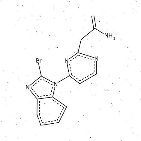 C=C(N)Cc1nccc(-n2c(Br)nc3ccccc32)n1